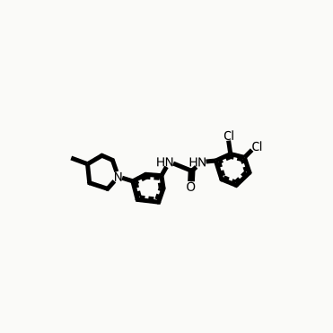 CC1CCN(c2cccc(NC(=O)Nc3cccc(Cl)c3Cl)c2)CC1